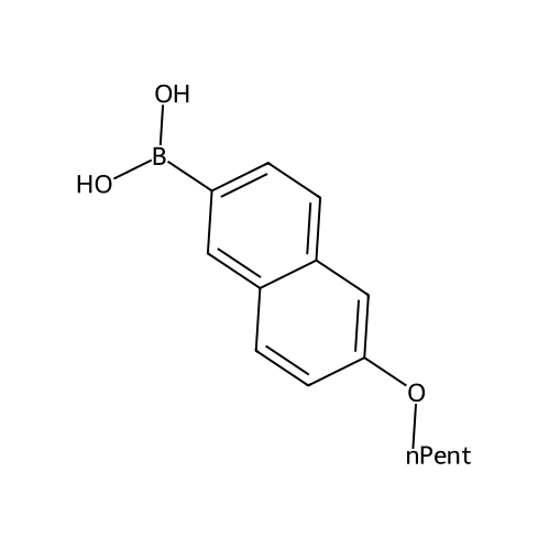 CCCCCOc1ccc2cc(B(O)O)ccc2c1